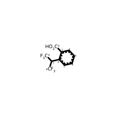 O=C(O)c1ccccc1C(C(F)(F)F)C(F)(F)F